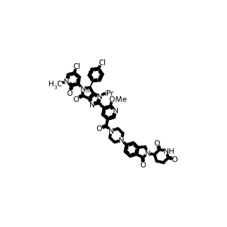 COc1ncc(C(=O)N2CCN(c3ccc4c(c3)CN(C3CCC(=O)NC3=O)C4=O)CC2)cc1-c1nc2c(n1C(C)C)[C@H](c1ccc(Cl)cc1)N(c1cc(Cl)cn(C)c1=O)C2=O